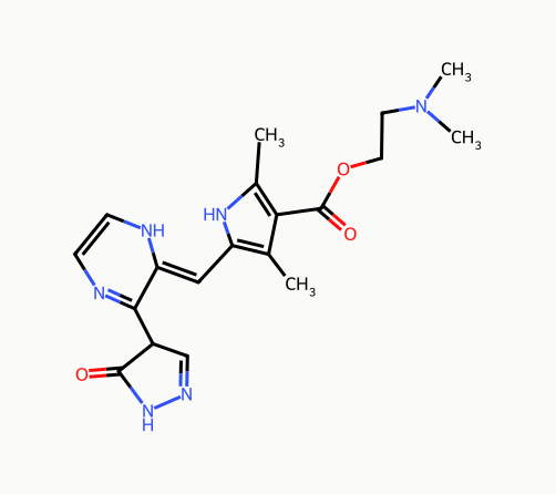 Cc1[nH]c(C=C2NC=CN=C2C2C=NNC2=O)c(C)c1C(=O)OCCN(C)C